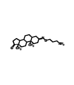 C[C@]12CCC(=NOCCCN)CC1CCC1C2CC[C@]2(C)C(=O)CCC12